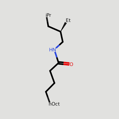 CCCCCCCCCCCC(=O)NC[C@H](CC)CC(C)C